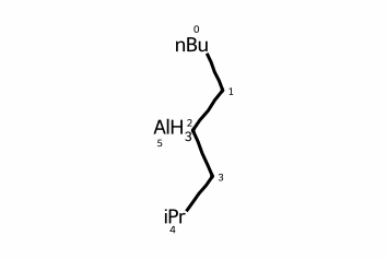 CCCCCCCC(C)C.[AlH3]